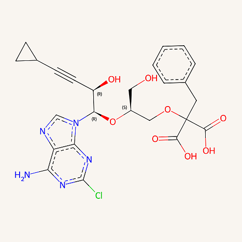 Nc1nc(Cl)nc2c1ncn2[C@H](O[C@@H](CO)COC(Cc1ccccc1)(C(=O)O)C(=O)O)[C@H](O)C#CC1CC1